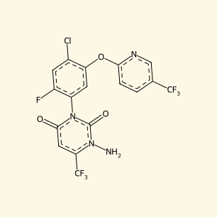 Nn1c(C(F)(F)F)cc(=O)n(-c2cc(Oc3ccc(C(F)(F)F)cn3)c(Cl)cc2F)c1=O